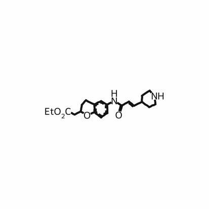 CCOC(=O)CC1CCc2cc(NC(=O)/C=C/C3CCNCC3)ccc2O1